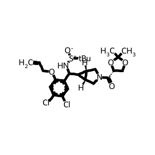 C=CCOc1cc(Cl)c(Cl)cc1C(N[S+]([O-])C(C)(C)C)C1[C@H]2CN(C(=O)[C@H]3COC(C)(C)O3)C[C@@H]12